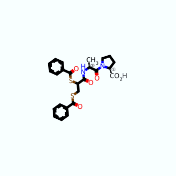 C[C@H](NC(=O)C(CSC(=O)c1ccccc1)SC(=O)c1ccccc1)C(=O)N1CCC[C@H]1C(=O)O